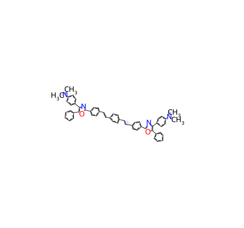 CN(C)c1ccc(-c2nc(-c3ccc(C=Cc4ccc(/C=C/c5ccc(-c6nc(-c7ccc(N(C)C)cc7)c(-c7ccccc7)o6)cc5)cc4)cc3)oc2-c2ccccc2)cc1